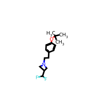 CC(C)(C)Oc1ccc(CCN2CC(C(F)F)C2)cc1